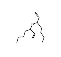 C=CC(CCCC)OC(C=C)CCCC